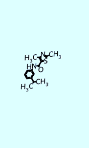 Cc1nc(C)c(C(=O)Nc2cccc(C(C)C)c2)s1